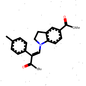 COC(=O)c1ccc2c(c1)CCN2/C=C(/C(=O)C(C)(C)C)c1ccc(C)cc1